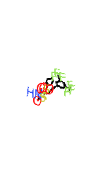 O=C1NC(=O)C(CC#Cc2cc(C(F)(F)F)cc(C(F)(F)F)c2)(S(=O)(=O)c2ccccc2)S1